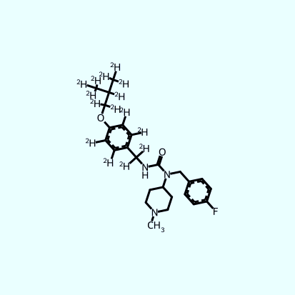 [2H]c1c([2H])c(C([2H])([2H])NC(=O)N(Cc2ccc(F)cc2)C2CCN(C)CC2)c([2H])c([2H])c1OC([2H])([2H])C([2H])(C([2H])([2H])[2H])C([2H])([2H])[2H]